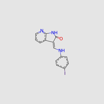 O=C1Nc2ncccc2C1=CNc1ccc(I)cc1